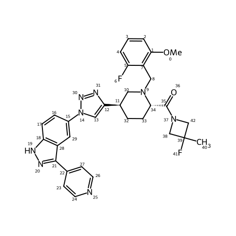 COc1cccc(F)c1CN1C[C@H](c2cn(-c3ccc4[nH]nc(-c5ccncc5)c4c3)nn2)CC[C@H]1C(=O)N1CC(C)(F)C1